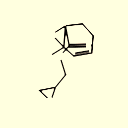 O=C(O)C12C=CCCC1(C(=O)OCC1CO1)O2